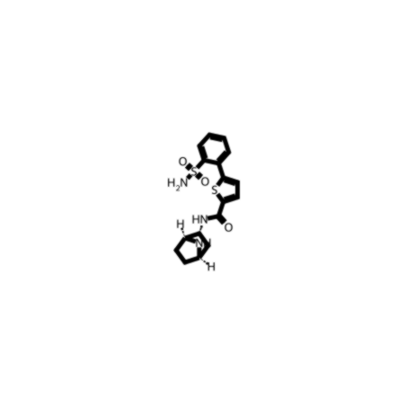 NS(=O)(=O)c1ccccc1-c1ccc(C(=O)N[C@@H]2C[C@H]3CC[C@@H]2N3)s1